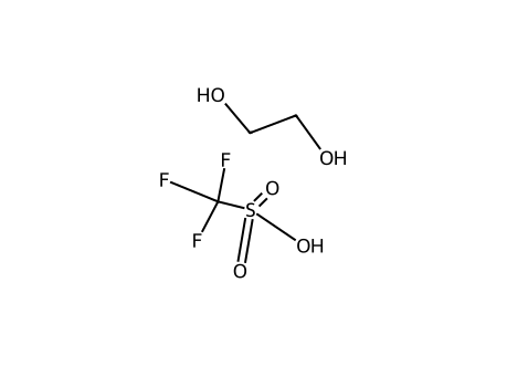 O=S(=O)(O)C(F)(F)F.OCCO